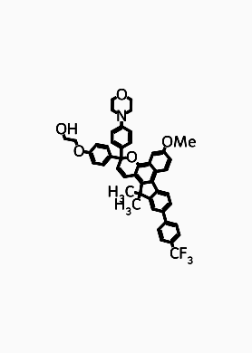 COc1ccc2c3c(c4c(c2c1)OC(c1ccc(OCCO)cc1)(c1ccc(N2CCOCC2)cc1)C=C4)C(C)(C)c1cc(-c2ccc(C(F)(F)F)cc2)ccc1-3